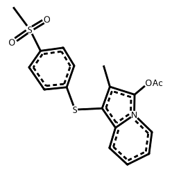 CC(=O)Oc1c(C)c(Sc2ccc(S(C)(=O)=O)cc2)c2ccccn12